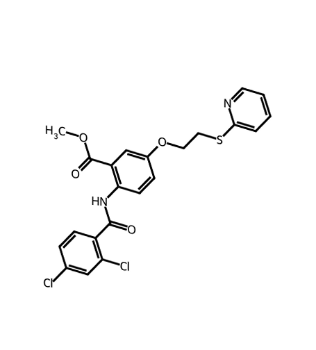 COC(=O)c1cc(OCCSc2ccccn2)ccc1NC(=O)c1ccc(Cl)cc1Cl